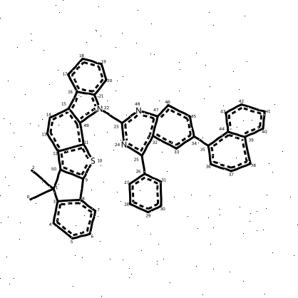 CC1(C)c2ccccc2-c2sc3c(ccc4c5ccccc5n(-c5nc(-c6ccccc6)c6cc(-c7cccc8ccccc78)ccc6n5)c43)c21